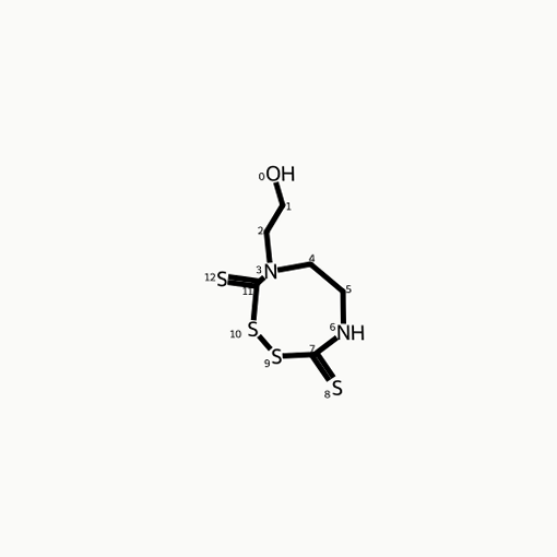 OCCN1CCNC(=S)SSC1=S